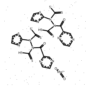 O=C(c1cnccn1)N(C(=S)S)N(C(=S)[S-])c1nccs1.O=C(c1cnccn1)N(C(=S)S)N(C(=S)[S-])c1nccs1.[O]=[Mo+2]=[O]